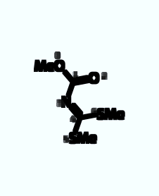 COC(=O)N=C(SC)SC